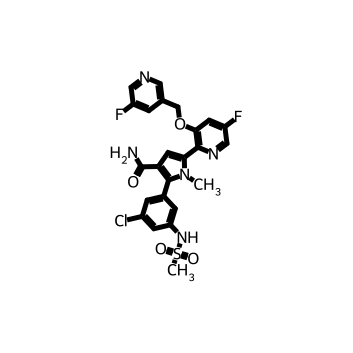 Cn1c(-c2ncc(F)cc2OCc2cncc(F)c2)cc(C(N)=O)c1-c1cc(Cl)cc(NS(C)(=O)=O)c1